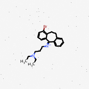 CCN(CC)CCC/N=C1/c2ccccc2CCc2c(Br)cccc21